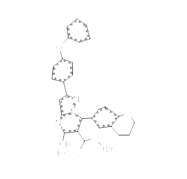 Cc1nc2cc(-c3ccc(Oc4ccccc4)cc3)nn2c(-c2ccc3c(c2)CCCO3)c1C(OC(C)(C)C)C(=O)O